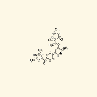 CC(Oc1cc(-c2ccc(C(=O)N3C[C@@H](C)N[C@@H](C)C3)cc2)cnc1N)c1c(Cl)cc(C(F)(F)F)cc1Cl